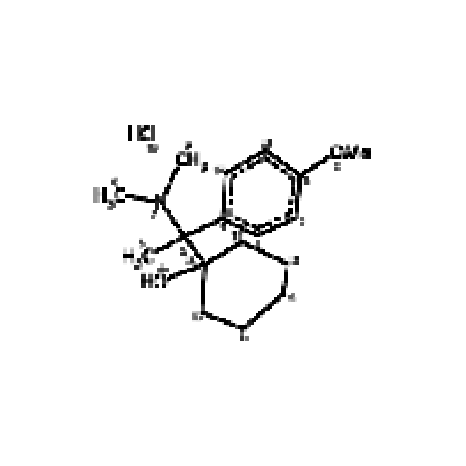 COc1ccc(C(C)(N(C)C)C2(O)CCCCC2)cc1.Cl